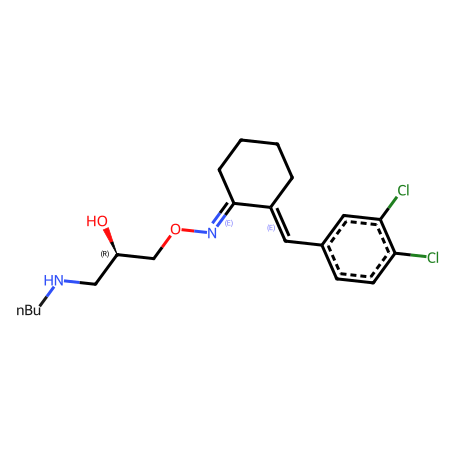 CCCCNC[C@@H](O)CO/N=C1\CCCC\C1=C/c1ccc(Cl)c(Cl)c1